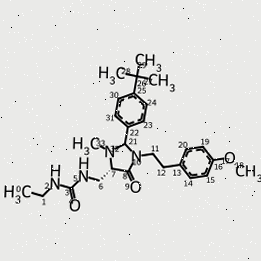 CCNC(=O)NC[C@H]1C(=O)N(CCc2ccc(OC)cc2)C(c2ccc(C(C)(C)C)cc2)N1C